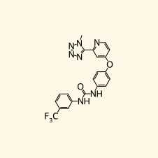 Cn1nnnc1-c1cc(Oc2ccc(NC(=O)Nc3cccc(C(F)(F)F)c3)cc2)ccn1